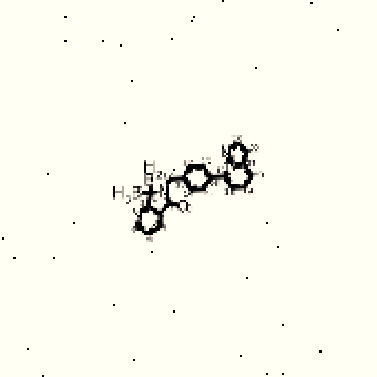 BC1(B)c2ncccc2C(=O)N1Cc1ccc(-c2cccc3ccnn23)cc1